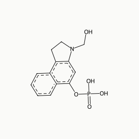 O=P(O)(O)Oc1cc2c(c3ccccc13)CCN2CO